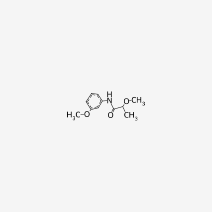 COc1cccc(NC(=O)C(C)OC)c1